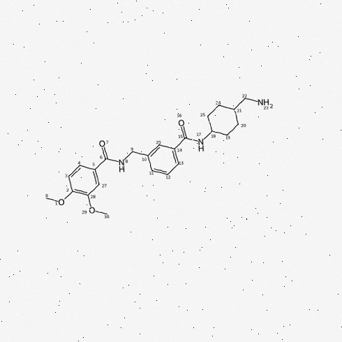 COc1ccc(C(=O)NCc2cccc(C(=O)NC3CCC(CN)CC3)c2)cc1OC